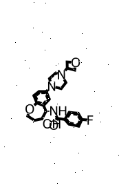 O=C(N[C@H]1c2cc(N3CCN(C4COC4)CC3)ccc2OCC[C@@H]1O)c1ccc(F)cc1